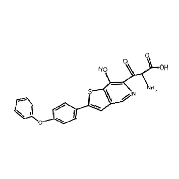 NC(C(=O)O)C(=O)c1ncc2cc(-c3ccc(Oc4ccccc4)cc3)sc2c1O